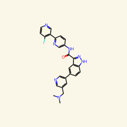 CN(C)Cc1cncc(-c2ccc3[nH]nc(C(=O)Nc4ccc(-c5cnccc5F)nc4)c3c2)c1